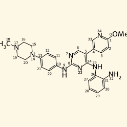 COc1ccc(-c2cnc(Nc3ccc(N4CCN(C)CC4)cc3)nc2Nc2ccccc2N)cn1